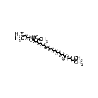 CC(C)CCCOC(=O)CCCCCCCCCCCCCCC(CC(=O)OCCCC(C)C)C(C)C